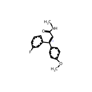 CNC(=O)/C=C(/c1ccc(OC)cc1)c1cccc(F)c1